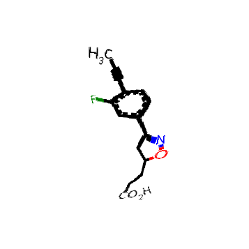 CC#Cc1ccc(C2=NOC(CCC(=O)O)C2)cc1F